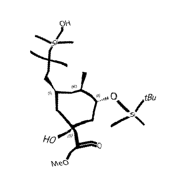 COC(=O)[C@]1(O)C[C@@H](CC(C)(C)[Si](C)(C)O)[C@@H](C)[C@H](O[Si](C)(C)C(C)(C)C)C1